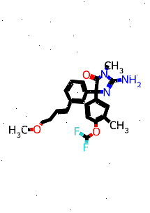 COCC/C=C/c1cccc(C2(c3ccc(OC(F)F)c(C)c3)N=C(N)N(C)C2=O)c1